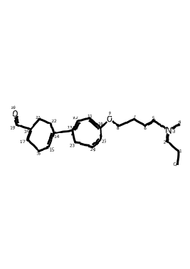 CCCN(C)CCCCOC1=CC=C(C2=CCCC(C=O)CC2)CC=C1